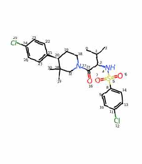 CC(C)[C@@H](NS(=O)(=O)c1ccc(Cl)cc1)C(=O)N1CC[C@H](c2ccc(Cl)cc2)C(C)(C)C1